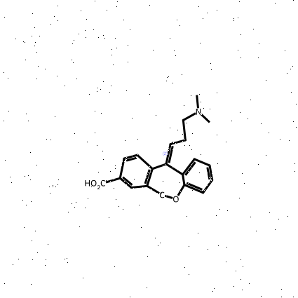 CN(C)CC/C=C1/c2ccc(C(=O)O)cc2COc2ccccc21